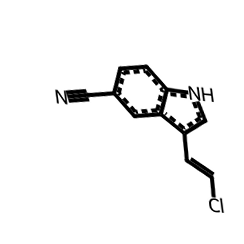 N#Cc1ccc2[nH]cc(C=CCl)c2c1